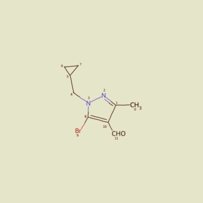 Cc1nn(CC2CC2)c(Br)c1C=O